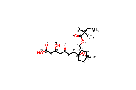 CCC(C)(C)C(=O)OC[C@H]1C[C@@H]2CC[C@@]1(CCC(=O)CC(O)CC(=O)O)O2